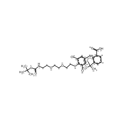 CC(C)(C)OC(=O)NCCOCCOCCOc1c(Cl)cc(Nc2c(C(=O)O)cccc2C(C)(C)C)cc1Cl